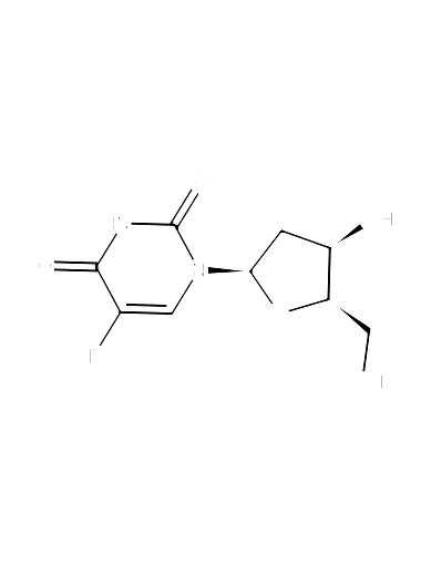 O=c1[nH]c(=O)n([C@H]2C[C@@H](O)[C@@H](CO)O2)cc1F